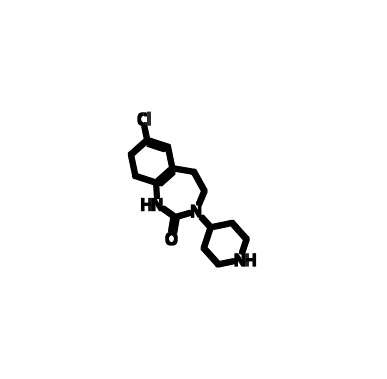 O=C1NC2=C(C=C(Cl)CC2)CCN1C1CCNCC1